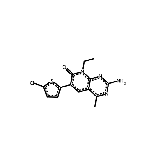 CCn1c(=O)c(-c2ccc(Cl)s2)cc2c(C)nc(N)nc21